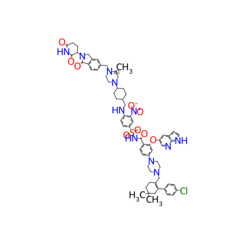 C[C@H]1CN(C2CCC(CNc3ccc(S(=O)(=O)NC(=O)c4ccc(N5CCN(CC6=C(c7ccc(Cl)cc7)CC(C)(C)CC6)CC5)cc4Oc4cnc5[nH]ccc5c4)cc3[N+](=O)[O-])CC2)CCN1Cc1ccc2c(c1)CN(C1CCC(=O)NC1=O)C2=O